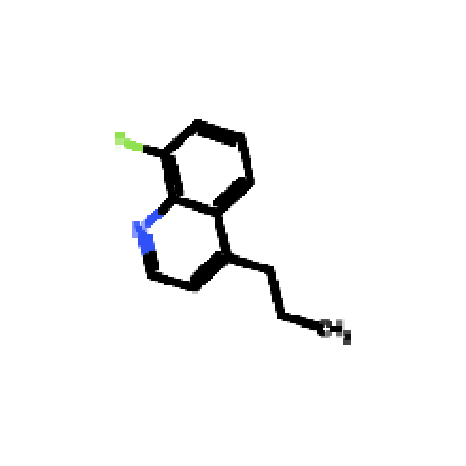 CCCc1ccnc2c(F)cccc12